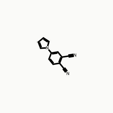 N#Cc1ccc(-n2c[c]cc2)cc1C#N